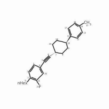 CCCCCCc1ccc(C#C[C@H]2CC[C@H](c3ccc(C)cc3)CC2)cc1F